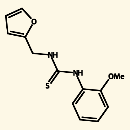 COc1ccccc1NC(=S)NCc1ccco1